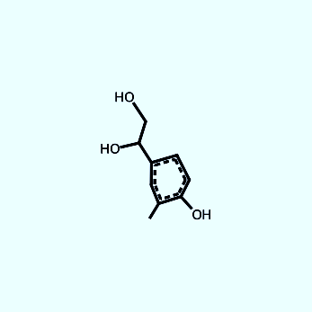 Cc1cc(C(O)CO)ccc1O